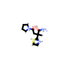 [CH2]C(CC(=O)N1CCCC1)(C(N)=O)c1nccs1